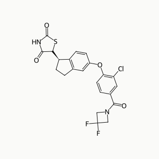 O=C1NC(=O)C([C@@H]2CCc3cc(Oc4ccc(C(=O)N5CC(F)(F)C5)cc4Cl)ccc32)S1